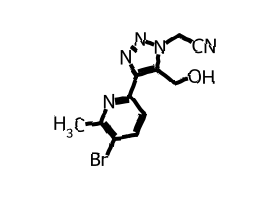 Cc1nc(-c2nnn(CC#N)c2CO)ccc1Br